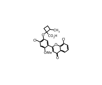 COc1cc(Cl)c(OC2(C(=O)O)CCC2C)cc1-c1cc(=O)c2cccc(Cl)c2o1